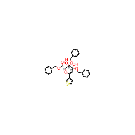 OC(OCc1ccccc1)[C@H]1OC(c2ccsc2)=C[C@](O)(OCc2ccccc2)[C@@]1(O)OCc1ccccc1